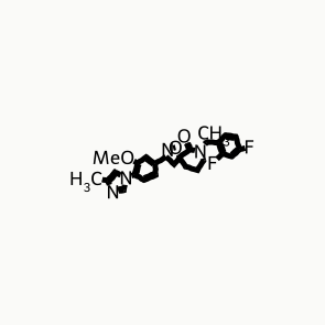 COc1cc(C2=NOC3(CCCN(C(C)c4ccc(F)cc4F)C3=O)C2)ccc1-n1cnc(C)c1